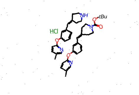 Cc1ccc(Oc2cccc(C=C3CCN(C(=O)OC(C)(C)C)CC3)c2)nc1.Cc1ccc(Oc2cccc(C=C3CCNCC3)c2)nc1.Cl